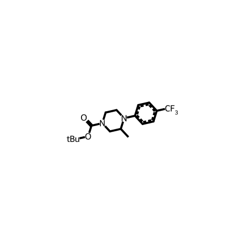 CC1CN(C(=O)OC(C)(C)C)CCN1c1ccc(C(F)(F)F)cc1